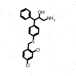 NCC(O)C(c1ccccc1)c1ccc(SCc2ccc(Cl)cc2Cl)cc1